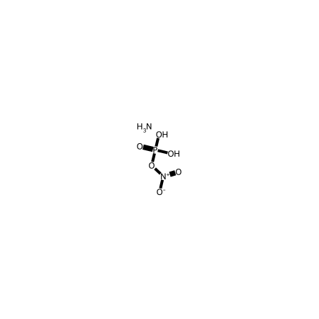 N.O=[N+]([O-])OP(=O)(O)O